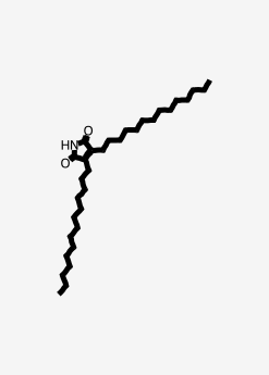 CCCCCCCCCCCCCCC1=C(CCCCCCCCCCCCCC)C(=O)NC1=O